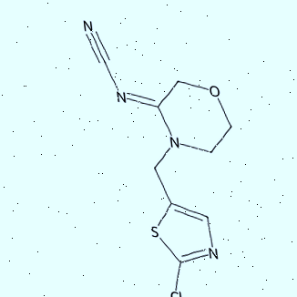 N#CN=C1COCCN1Cc1cnc(Cl)s1